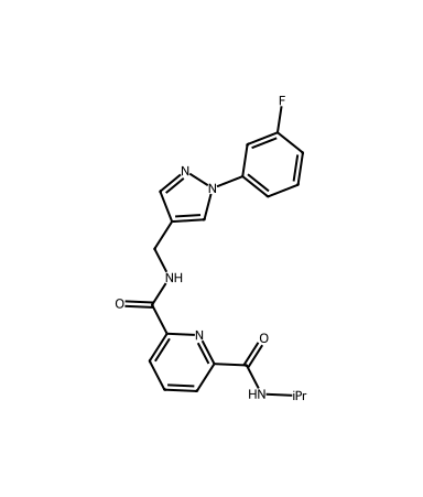 CC(C)NC(=O)c1cccc(C(=O)NCc2cnn(-c3cccc(F)c3)c2)n1